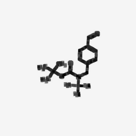 [2H]C([2H])([2H])N(Cc1ccc(C=O)cc1)C(=O)OC(C)(C)C